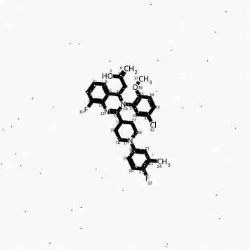 C=C(O)CC1c2cccc(F)c2N=C(C2CCN(c3ccc(F)c(C)c3)CC2)N1c1cc(Cl)ccc1OC